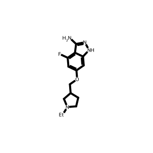 CCN1CCC(COc2cc(F)c3c(N)n[nH]c3c2)C1